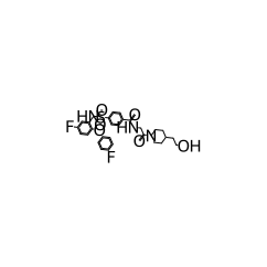 O=C(NCC(=O)N1CCC(CCO)CC1)c1ccc(S(=O)(=O)Nc2cc(F)ccc2Oc2ccc(F)cc2)cc1